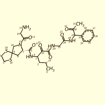 CCCC(NC(=O)[C@@H]1CC2(CN1C(=O)CN)SCCS2)C(=O)C(=O)NCC(=O)NC(C(C)=O)c1ccccc1